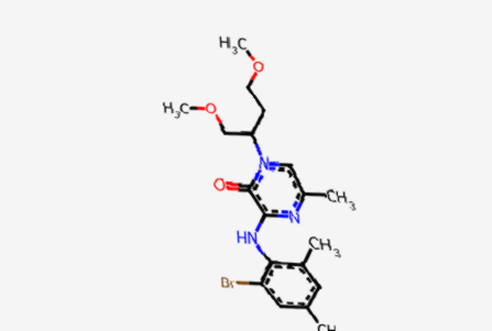 COCCC(COC)n1cc(C)nc(Nc2c(C)cc(C)cc2Br)c1=O